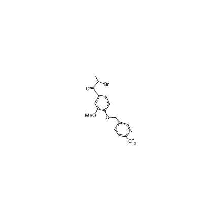 COc1cc(C(=O)C(C)Br)ccc1OCc1ccc(C(F)(F)F)nc1